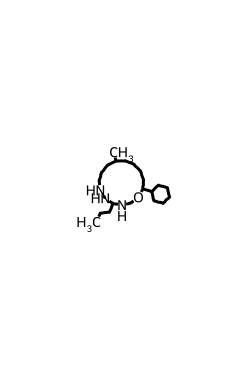 CCCC1NCOC(C2CCCCC2)CCCCC(C)CCCNN1